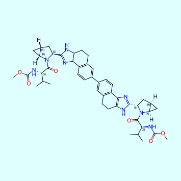 COC(=O)N[C@H](C(=O)N1[C@@H]2C[C@@H]2C[C@H]1C1=NC2c3ccc(-c4ccc5c(c4)CCc4[nH]c([C@@H]6C[C@H]7C[C@H]7N6C(=O)[C@@H](NC(=O)OC)C(C)C)nc4-5)cc3CCC2N1)C(C)C